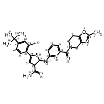 Cc1nc2c(o1)CCN(C(=O)c1cccc(NC3SC(c4ccc(C(C)(C)O)cc4F)=CC3C(N)=O)n1)C2